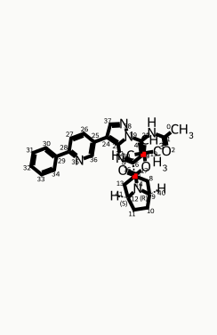 CC(=O)Nc1cc([C@@H]2C[C@H]3CC[C@@H](C2)N3C(=O)OC(C)(C)C)nc2c(-c3ccc(-c4ccccc4)nc3)cnn12